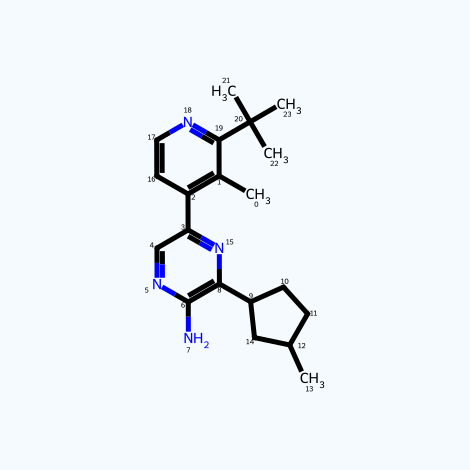 Cc1c(-c2cnc(N)c(C3CCC(C)C3)n2)ccnc1C(C)(C)C